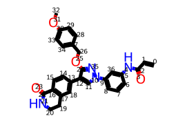 C=CC(=O)Nc1cccc(-n2cc(-c3ccc4c(c3)CCNC4=O)c(OCc3ccc(OC)cc3)n2)c1